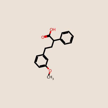 COc1cccc(CCC(C(=O)O)c2ccccc2)c1